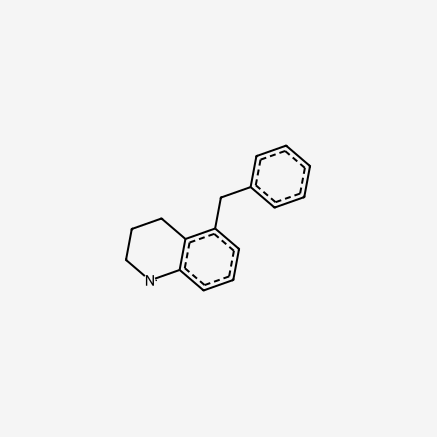 c1ccc(Cc2cccc3c2CCC[N]3)cc1